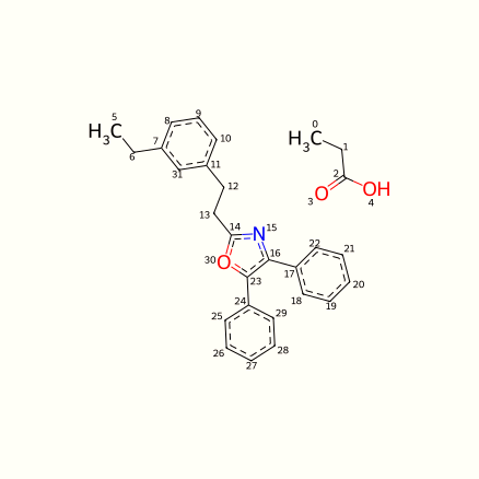 CCC(=O)O.CCc1cccc(CCc2nc(-c3ccccc3)c(-c3ccccc3)o2)c1